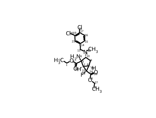 CCOC(=O)[C@@]1(N)[C@H]2[C@@H](C[C@H]1N(C)Cc1ccc(Cl)c(Cl)c1)[C@]2(F)C(=O)OCC